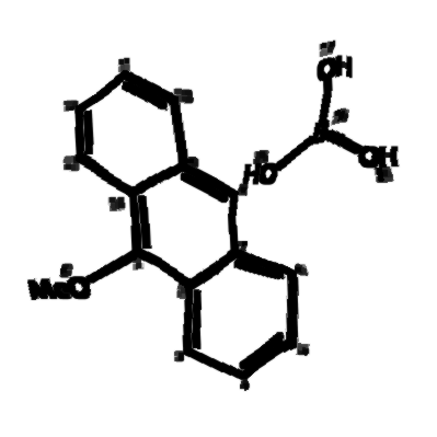 COc1c2ccccc2cc2ccccc12.OB(O)O